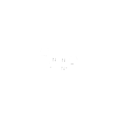 Cc1cc(C)c(C)c(-c2cccc(-c3ncc4ccccc4n3)n2)c1C